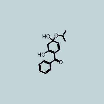 CC(C)OC1(O)C=CC(C(=O)c2ccccc2)=C(O)C1